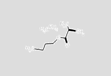 C.C.C=C(C)C(=O)OCCC[SiH3]